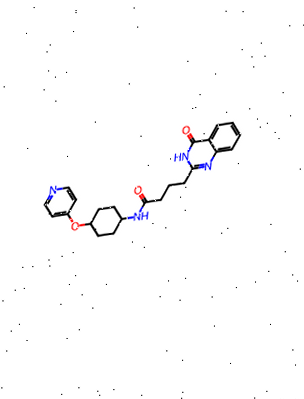 O=C(CCCc1nc2ccccc2c(=O)[nH]1)NC1CCC(Oc2ccncc2)CC1